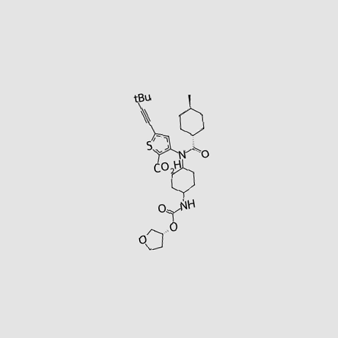 CC(C)(C)C#Cc1cc(N(C(=O)[C@H]2CC[C@H](C)CC2)C2CCC(NC(=O)O[C@@H]3CCOC3)CC2)c(C(=O)O)s1